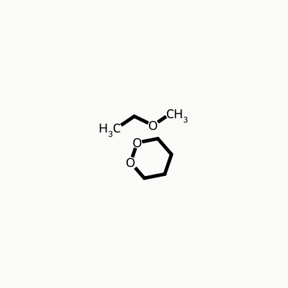 C1CCOOC1.CCOC